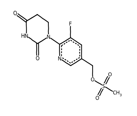 CS(=O)(=O)OCc1cnc(N2CCC(=O)NC2=O)c(F)c1